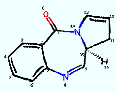 O=C1c2ccccc2N=C[C@@H]2CC=CN12